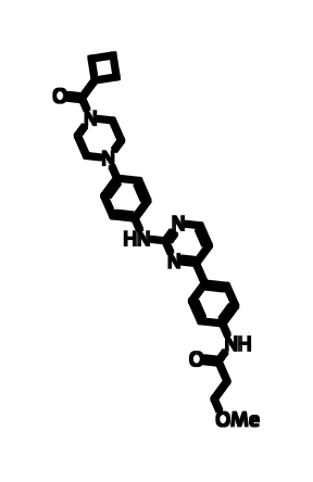 COCCC(=O)Nc1ccc(-c2ccnc(Nc3ccc(N4CCN(C(=O)C5CCC5)CC4)cc3)n2)cc1